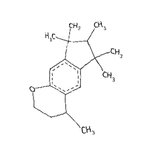 CC1CCOc2cc3c(cc21)C(C)(C)C(C)C3(C)C